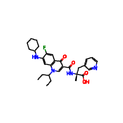 CCC(CC)n1cc(C(=O)N[C@](C)(Cc2cccnc2)C(=O)O)c(=O)c2cc(F)c(NC3CCCCC3)cc21